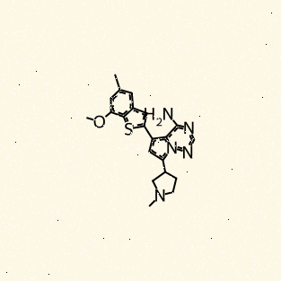 COc1cc(C)cc2cc(-c3cc(C4CCN(C)C4)n4ncnc(N)c34)sc12